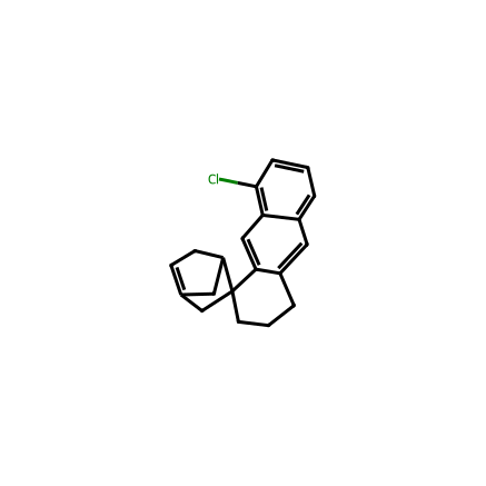 Clc1cccc2cc3c(cc12)C1(CCC3)CC2=CCC1C2